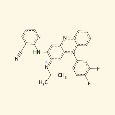 CC(C)/N=c1\cc2n(-c3ccc(F)c(F)c3)c3ccccc3nc-2cc1Nc1ncccc1C#N